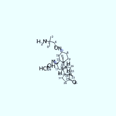 CC(C)(N)CO/N=C1/CC[C@@]2(C)C(C1)/C(=N/O)C[C@@H]1[C@@H]2CC[C@]2(C)C(=O)CC[C@@H]12.Cl